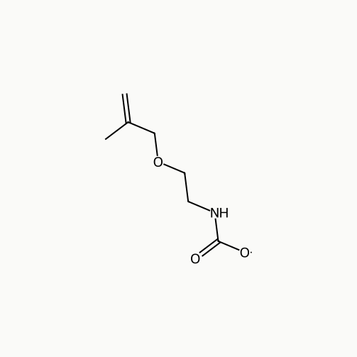 C=C(C)COCCNC([O])=O